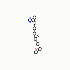 CC1(C)c2cc(-c3ccc(-c4ccc5c6ccccc6c6nccnc6c5c4)cc3)ccc2-c2ccc(-c3ccc(-c4cccc5c4oc4ccccc45)cc3)cc21